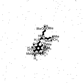 CO[Si](C)(CCCNC(NCCC[Si](C)(OC)OC)[SiH2]CCc1c(C(C)[Si](C)(OC)OC)c([SiH](C)C)c([SiH](C)C)c(C(C)[Si](C)(OC)OC)c1[SiH](C)C)OC